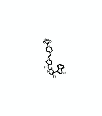 CC(C)(C)OC(=O)N1CCN(CCN2CCC(Nc3ncc(Cl)c(-c4c[nH]c5ccccc45)n3)C2)CC1